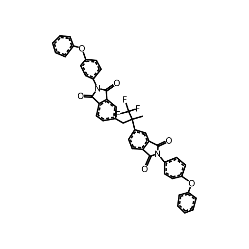 CC(Cc1ccc2c(c1)C(=O)N(c1ccc(Oc3ccccc3)cc1)C2=O)(c1ccc2c(c1)C(=O)N(c1ccc(Oc3ccccc3)cc1)C2=O)C(F)(F)F